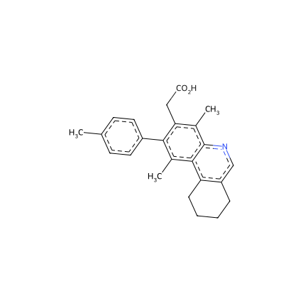 Cc1ccc(-c2c(CC(=O)O)c(C)c3ncc4c(c3c2C)CCCC4)cc1